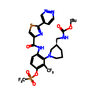 CC(C)(C)OC(=O)NC[C@@H]1CCCN(c2c(NC(=O)c3csc(-c4ccnnc4)n3)ccc(OS(=O)(=O)C(F)(F)F)c2C(F)(F)F)C1